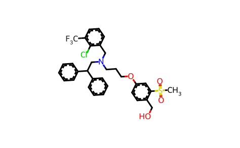 CS(=O)(=O)c1cc(OCCCN(Cc2cccc(C(F)(F)F)c2Cl)CC(c2ccccc2)c2ccccc2)ccc1CO